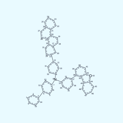 c1ccc(-c2ccc(N(c3ccc(-c4ccc5c(ccc6c7ccccc7ccc56)c4)cc3)c3cccc(-c4cccc5oc6ccccc6c45)c3)cc2)cc1